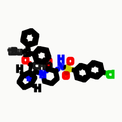 CC(C)(C)[Si](OC[C@H]1C[C@@H]2CC[C@H]1N2[C@H](C=O)N1CCCC(NS(=O)(=O)c2ccc3cc(Cl)ccc3c2)C1=O)(c1ccccc1)c1ccccc1